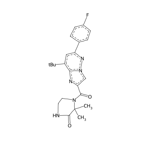 CC(C)(C)c1cc(-c2ccc(F)cc2)nn2cc(C(=O)N3CCNC(=O)C3(C)C)nc12